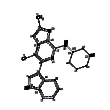 Cc1cn2c(Cl)c(-c3c[nH]c4ccccc34)nc(N[C@H]3CCCNC3)c2n1